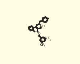 Cc1ccccc1C1=C(COCc2cc(C(F)(F)F)cc(C(F)(F)F)c2)CNC(Cc2ccccc2)C1